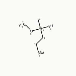 CCCCCC[Si](C)(S)O[SiH3]